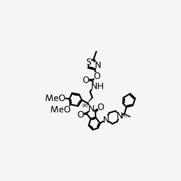 COc1ccc([C@@H](CCNC(=O)Oc2csc(C)n2)N2C(=O)c3cccc(N4CCN([C@H](C)c5ccccc5)CC4)c3C2=O)cc1OC